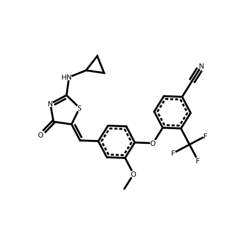 COc1cc(/C=C2\SC(NC3CC3)=NC2=O)ccc1Oc1ccc(C#N)cc1C(F)(F)F